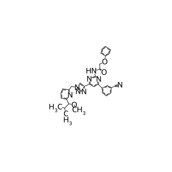 COC(c1cccc(Cn2cc(-c3cc(-c4cccc(C#N)c4)nc(NC(=O)COc4ccccc4)n3)nn2)n1)C(C)C